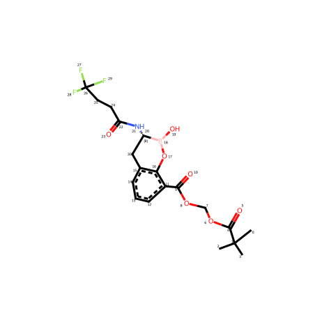 CC(C)(C)C(=O)OCOC(=O)c1cccc2c1OB(O)[C@@H](NC(=O)CCC(F)(F)F)C2